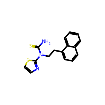 NC(=S)N(CCc1cccc2ccccc12)c1nccs1